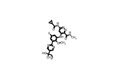 CNC(=O)c1nnc(NC(=O)C2CC2)cc1Nc1cc(F)cc(-c2ncc(C(C)(O)CF)cn2)c1OC